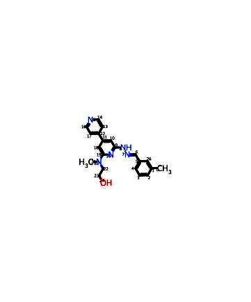 Cc1cccc(/C=N/Nc2cc(-c3ccncc3)cc(N(C)CCO)n2)c1